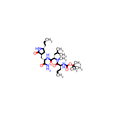 C=CC[C@@H]1C[C@@H](C[C@H](NC(=O)[C@H](CC(C)C)N(C)C(=O)[C@H](CC=C)NC(=O)OC(C)(C)C)C(N)=O)C(=O)N1